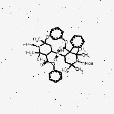 CCCCCCCCCN1C(C)(C)CC(P(=O)(O)C2CC(C)(C)N(CCCCCCCCC)C(C)(C)C2(C(=O)Oc2ccccc2)c2ccccc2)C(C(=O)Oc2ccccc2)C1(C)C